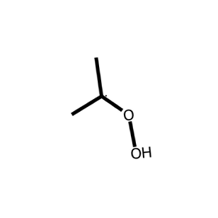 C[C](C)OO